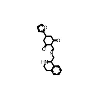 O=C1CC(c2ccco2)CC(=O)C1/C=N/CC1NCCc2ccccc21